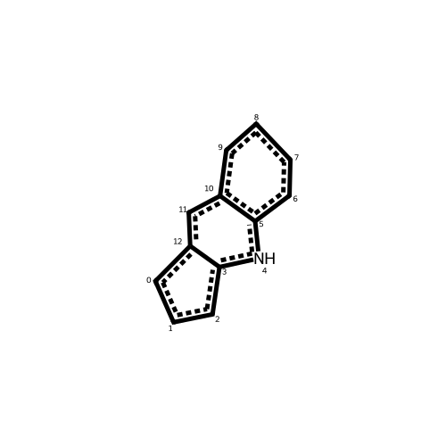 [c]1ccc2[nH]c3ccccc3cc1-2